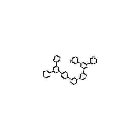 c1ccc(-c2cc(-c3ccccc3)cc(-c3ccc(-c4cccc(-c5cccc(-c6cc(-c7cccnc7)cc(-c7cccnc7)c6)c5)c4)cc3)c2)cc1